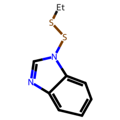 CCSSn1cnc2ccccc21